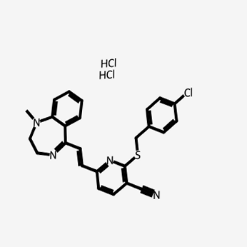 CN1CCN=C(/C=C/c2ccc(C#N)c(SCc3ccc(Cl)cc3)n2)c2ccccc21.Cl.Cl